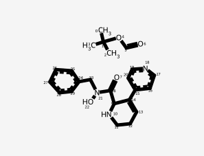 CC(C)(C)OC=O.O=C(C1NCCC=C1c1ccncc1)N(O)Cc1ccccc1